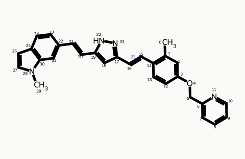 Cc1cc(OCc2ccccn2)ccc1/C=C/c1cc(C=Cc2ccc3ccn(C)c3c2)[nH]n1